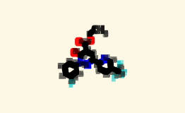 CCOC(=O)c1cc(-c2ccc(C(F)(F)F)cn2)nn(-c2cccc(F)c2)c1=O